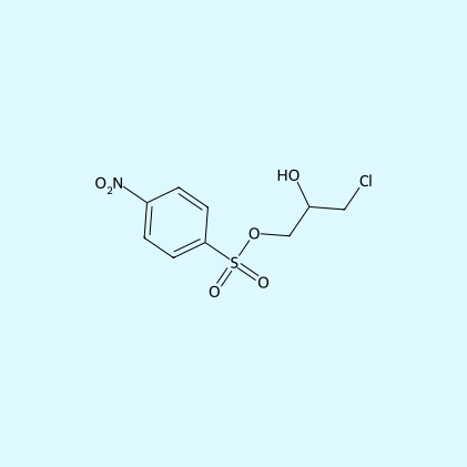 O=[N+]([O-])c1ccc(S(=O)(=O)OCC(O)CCl)cc1